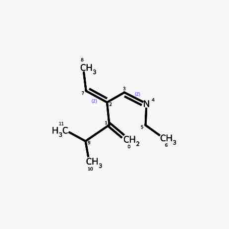 C=C(C(/C=N\CC)=C/C)C(C)C